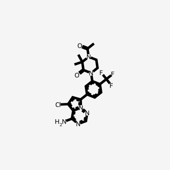 CC(=O)N1CCN(c2cc(-c3cc(Cl)c4c(N)ncnn34)ccc2C(F)(F)F)C(=O)C1(C)C